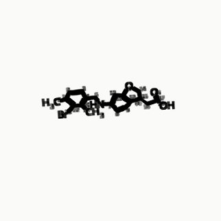 Cc1ccc(CNc2ccc3c(c2)OC[C@H]3CC(=O)O)c(C)c1Br